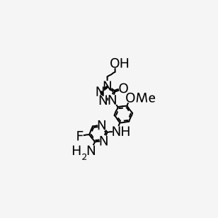 COc1ccc(Nc2ncc(F)c(N)n2)cc1-n1nnn(CCO)c1=O